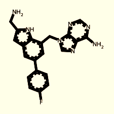 NCc1cc2cc(-c3ccc(F)cc3)cc(Cn3cnc4c(N)ncnc43)c2[nH]1